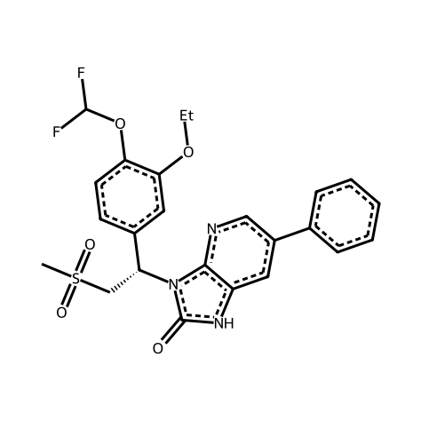 CCOc1cc([C@@H](CS(C)(=O)=O)n2c(=O)[nH]c3cc(-c4ccccc4)cnc32)ccc1OC(F)F